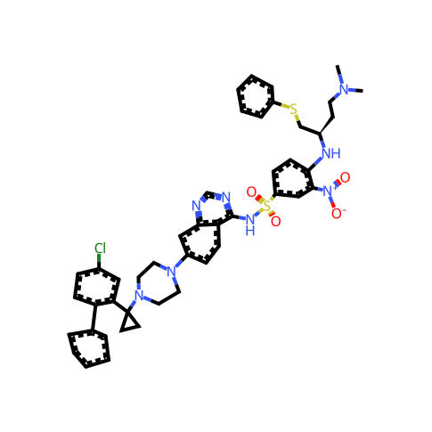 CN(C)CC[C@H](CSc1ccccc1)Nc1ccc(S(=O)(=O)Nc2ncnc3cc(N4CCN(C5(c6cc(Cl)ccc6-c6ccccc6)CC5)CC4)ccc23)cc1[N+](=O)[O-]